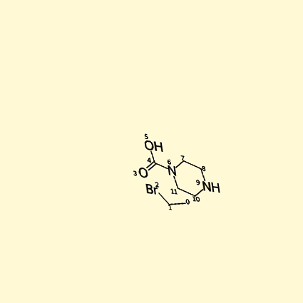 CCBr.O=C(O)N1CCNCC1